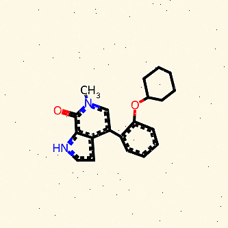 Cn1cc(-c2ccccc2OC2CCCCC2)c2cc[nH]c2c1=O